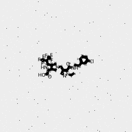 CCn1ncc(CN2CC3C(C(=O)O)NC(C(C(F)(F)F)C(F)(F)F)C3C2)c1C(=O)NCCc1cccc(Cl)c1